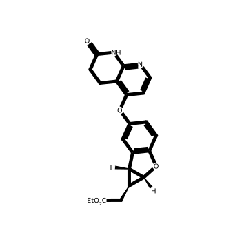 CCOC(=O)C[C@@H]1[C@H]2Oc3ccc(Oc4ccnc5c4CCC(=O)N5)cc3[C@@H]12